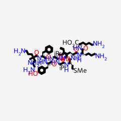 C=Cc1c(C[C@H](NC(=O)[C@H](CCSC)NC(=O)[C@@H](NC(=O)[C@@H](NC(=O)[C@H](Cc2ccc(O)cc2)NC(=O)[C@H](Cc2ccccc2)NC(=O)C(CN)(CCCN)CCCN)C(C)C)C(C)C)C(=O)N[C@@H](CCCCN)C(=O)N[C@H](CCCCN)C(=O)O)c[nH]c1C